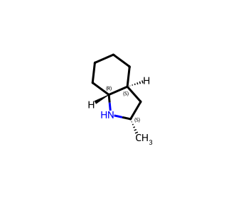 C[C@H]1C[C@@H]2CCCC[C@H]2N1